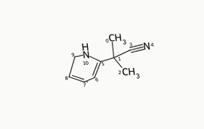 CC(C)(C#N)C1=C[C]=CCN1